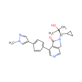 Cn1cc(-c2ccc(-c3cncc4c3C(=O)N([C@H](C3CC3)C(C)(C)O)C4)cc2)cn1